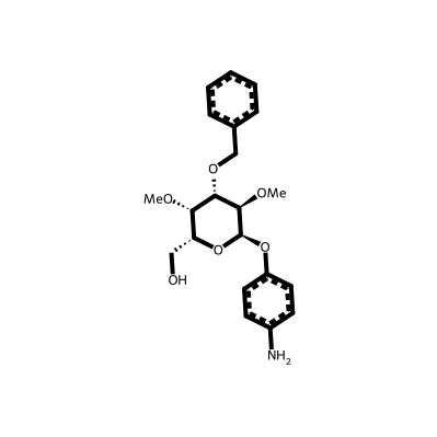 CO[C@@H]1[C@H](OCc2ccccc2)[C@@H](OC)[C@@H](Oc2ccc(N)cc2)O[C@@H]1CO